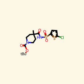 CC(C)(C)OC(=O)N1CCC(C)(C(=O)NS(=O)(=O)c2ccc(Cl)s2)CC1